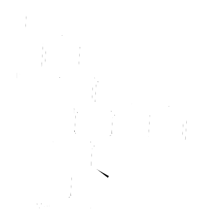 COC(=O)[C@H](C)[C@H](C)n1c(=O)[nH]/c(=N\c2ccc(OC(C)C)c(Br)c2)n(Cc2ccc(C)cc2)c1=O